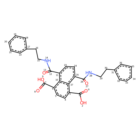 O=C(O)c1ccc(C(=O)O)c2c(C(=O)NCCc3ccccc3)ccc(C(=O)NCCc3ccccc3)c12